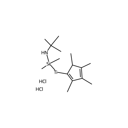 CC1=C(C)C(C)[C]([Ti][Si](C)(C)NC(C)(C)C)=C1C.Cl.Cl